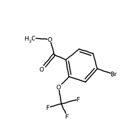 COC(=O)c1ccc(Br)cc1OC(F)(F)F